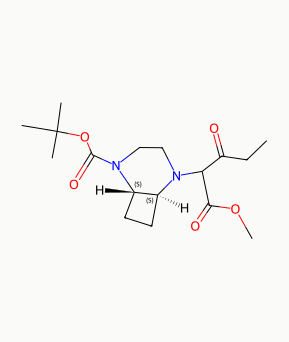 CCC(=O)C(C(=O)OC)N1CCN(C(=O)OC(C)(C)C)[C@H]2CC[C@@H]21